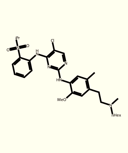 CCCCCCN(C)CCc1cc(OC)c(Nc2ncc(Cl)c(Nc3ccccc3S(=O)(=O)C(C)C)n2)cc1C